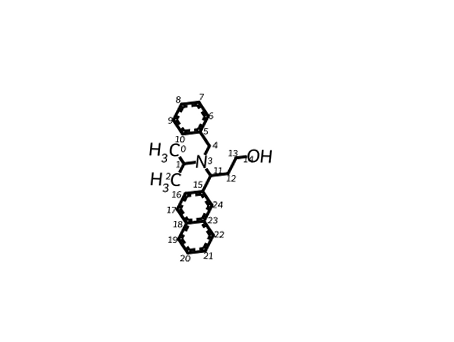 CC(C)N(Cc1ccccc1)C(CCO)c1ccc2ccccc2c1